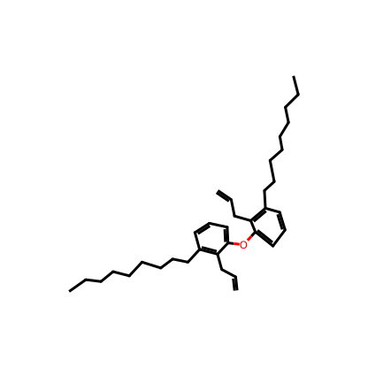 C=CCc1c(CCCCCCCCC)cccc1Oc1cccc(CCCCCCCCC)c1CC=C